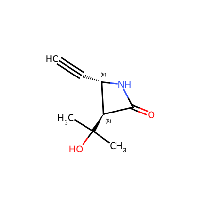 C#C[C@@H]1NC(=O)[C@H]1C(C)(C)O